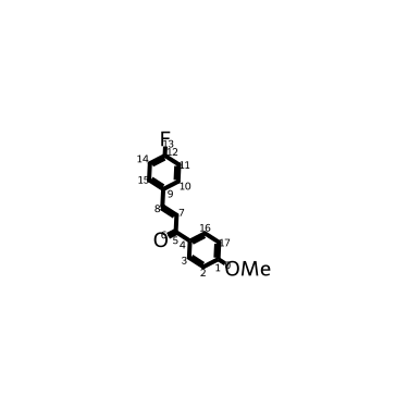 COc1ccc(C(=O)C=Cc2ccc(F)cc2)cc1